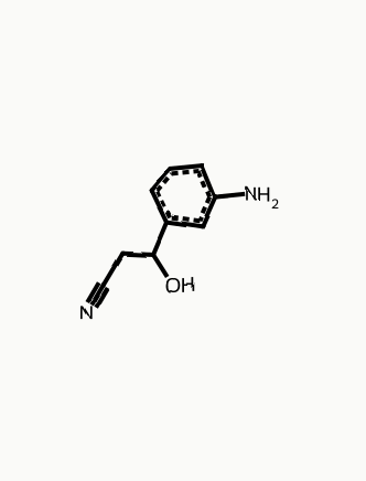 N#CCC(O)c1cccc(N)c1